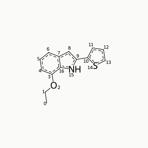 CCOc1cccc2cc(-c3cccs3)[nH]c12